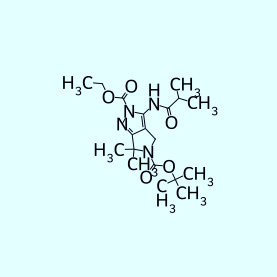 CCOC(=O)n1nc2c(c1NC(=O)C(C)C)CN(C(=O)OC(C)(C)C)C2(C)C